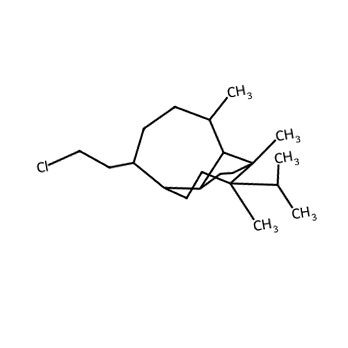 CC1CCC(CCCl)C2CCC(C)(C(C)C)C3(C)CCC2C13